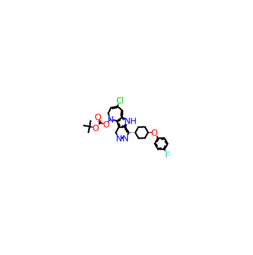 CC(C)(C)OC(=O)ON1CC=C(Cl)C=c2[nH]c3c(c21)CN=NC=3[C@H]1CC[C@H](Oc2ccc(F)cc2)CC1